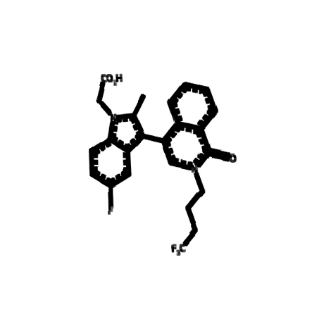 Cc1c(-c2cn(CCCC(F)(F)F)c(=O)c3ccccc23)c2cc(F)ccc2n1CC(=O)O